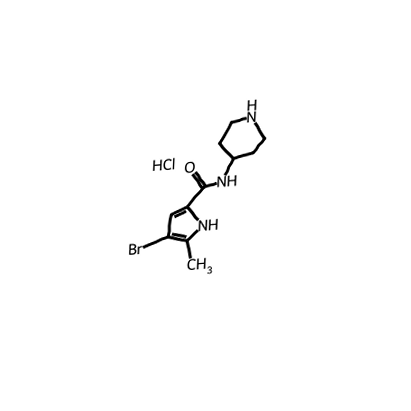 Cc1[nH]c(C(=O)NC2CCNCC2)cc1Br.Cl